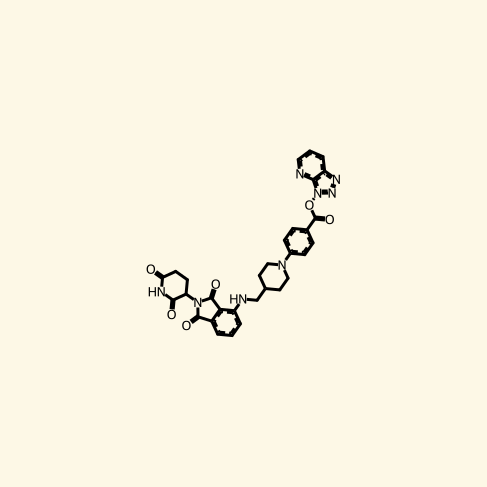 O=C1CCC(N2C(=O)c3cccc(NCC4CCN(c5ccc(C(=O)On6nnc7cccnc76)cc5)CC4)c3C2=O)C(=O)N1